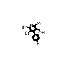 CCc1c(C(C)C)nc(C(C)C)c(CO)c1-c1ccc(F)cc1